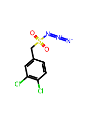 [N-]=[N+]=NS(=O)(=O)Cc1ccc(Cl)c(Cl)c1